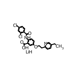 CCc1ccc(CCOc2ccc(NC(=O)c3ccc(Cl)cc3Cl)c(C(=O)O)c2)nc1.[LiH]